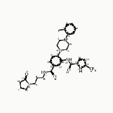 Cc1ccccc1N1CCN(c2ccc(C(=O)NCCCN3CCCC3=O)cc2NC(=O)c2cnc(C(F)(F)F)[nH]2)CC1